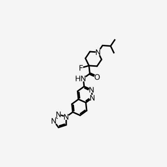 CC(C)CN1CCC(F)(C(=O)Nc2cc3cc(-n4ccnn4)ccc3nn2)CC1